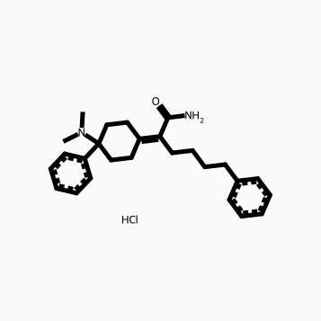 CN(C)C1(c2ccccc2)CCC(=C(CCCCc2ccccc2)C(N)=O)CC1.Cl